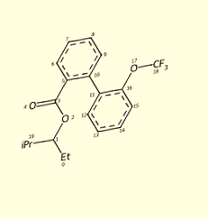 CCC(OC(=O)c1ccccc1-c1ccccc1OC(F)(F)F)C(C)C